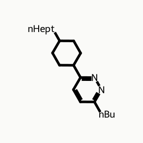 CCCCCCCC1CCC(c2ccc(CCCC)nn2)CC1